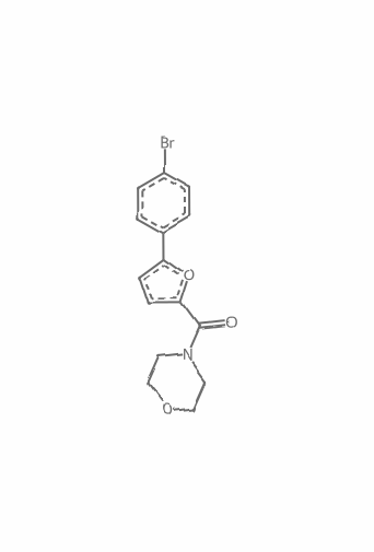 O=C(c1ccc(-c2ccc(Br)cc2)o1)N1CCOCC1